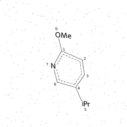 COc1ccc(C(C)C)cn1